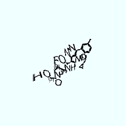 Cc1ccc(OCC2CC2)c(-c2ncnc3c(C(=O)N[C@@H]4CN(C(=O)[C@H](C)O)C[C@H]4F)c(C)[nH]c23)c1